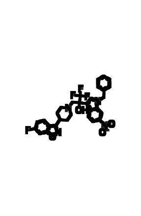 O=[N+]([O-])c1ccc2c(C(O)(CN3CCC(c4noc5cc(F)ccc45)CC3)C(F)(F)F)cn(Cc3ccccc3)c2c1